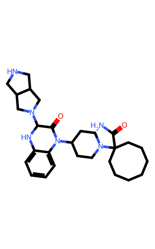 NC(=O)C1(N2CCC(N3C(=O)C(N4CC5CNCC5C4)Nc4ccccc43)CC2)CCCCCCC1